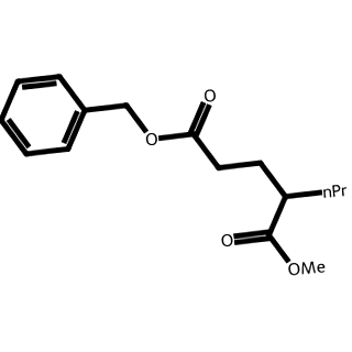 CCCC(CCC(=O)OCc1ccccc1)C(=O)OC